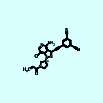 C=CC(=O)N1CC[C@H](n2nc(C#Cc3cc(C#N)cc(C#N)c3)c3c(N)ncc(Cl)c32)C1